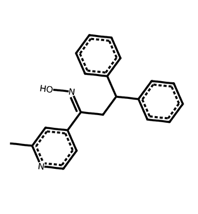 Cc1cc(C(CC(c2ccccc2)c2ccccc2)=NO)ccn1